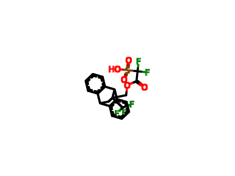 O=C(OCC1(C(F)(F)F)CC2c3ccccc3C1c1ccccc12)C(F)(F)S(=O)(=O)O